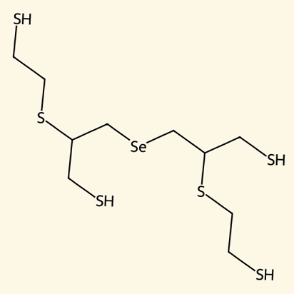 SCCSC(CS)C[Se]CC(CS)SCCS